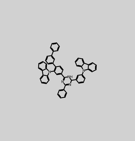 c1ccc(C2=NC(c3cccc(-n4c5ccccc5c5ccccc54)c3)NC(c3ccc(-c4cccc(-c5ccccc5)c4)c(-n4c5ccccc5c5ccccc54)c3)=N2)cc1